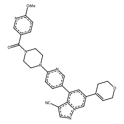 COc1ccc(C(=O)N2CCN(c3ccc(-c4cc(C5=CCOCC5)cn5ncc(C#N)c45)cn3)CC2)cn1